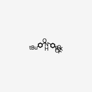 CC(C)(C)c1ccc(C(=O)NCc2ccc(B3OC(C)(C)C(C)(C)O3)cc2)cc1